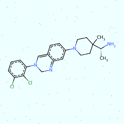 C[C@@H](N)C1(C)CCN(c2ccc3c(c2)=NCN(c2cccc(Cl)c2Cl)C=3)CC1